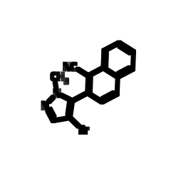 Cn1ncc(Br)c1-c1ccc2ccccc2c1C#N